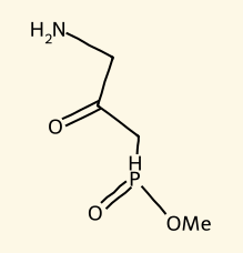 CO[PH](=O)CC(=O)CN